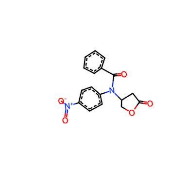 O=C1CC(N(C(=O)c2ccccc2)c2ccc([N+](=O)[O-])cc2)CO1